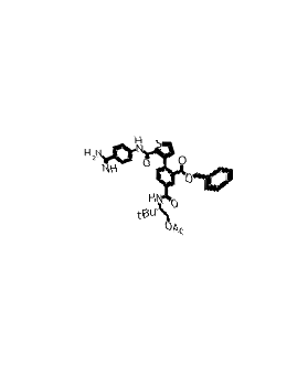 CC(=O)OC[C@@H](NC(=O)c1ccc(-c2ccsc2C(=O)Nc2ccc(C(=N)N)cc2)c(C(=O)OCc2ccccc2)c1)C(C)(C)C